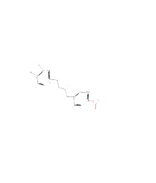 COc1ccc(CCCCc2ccc3c(c2)CC3)cc1